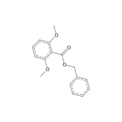 COc1cccc(OC)c1C(=O)OCc1ccccc1